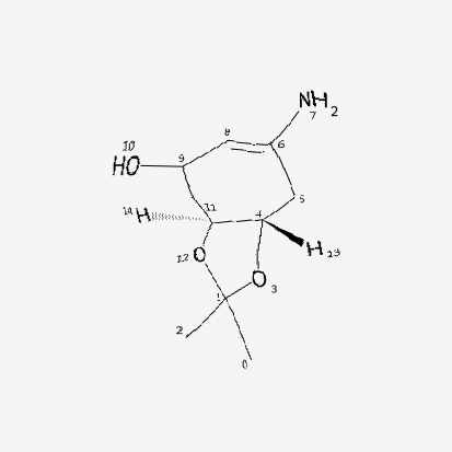 CC1(C)O[C@H]2CC(N)=CC(O)[C@@H]2O1